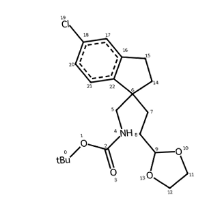 CC(C)(C)OC(=O)NCC1(CCC2OCCO2)CCc2cc(Cl)ccc21